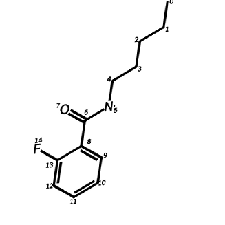 CCCCC[N]C(=O)c1ccccc1F